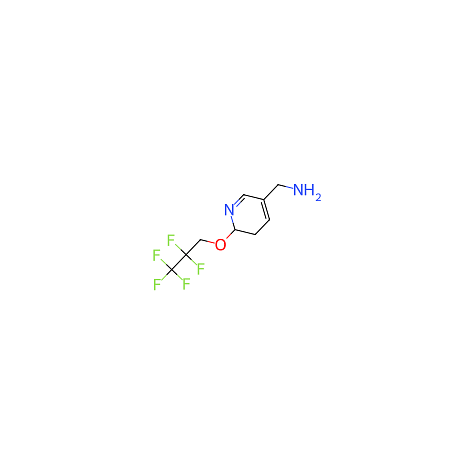 NCC1=CCC(OCC(F)(F)C(F)(F)F)N=C1